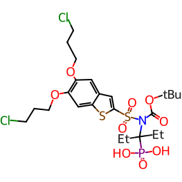 CCC(CC)(N(C(=O)OC(C)(C)C)S(=O)(=O)c1cc2cc(OCCCCl)c(OCCCCl)cc2s1)P(=O)(O)O